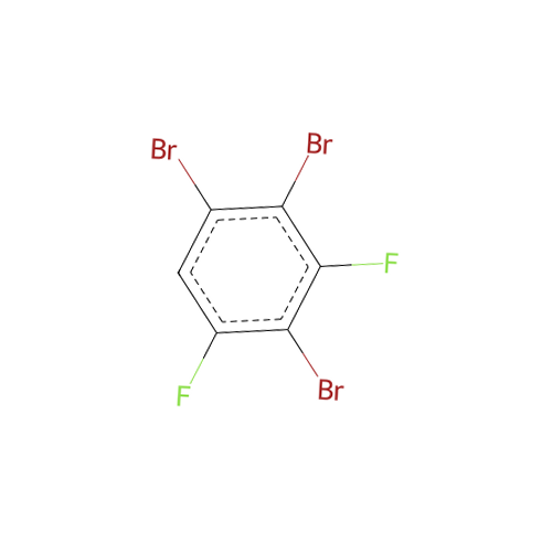 Fc1cc(Br)c(Br)c(F)c1Br